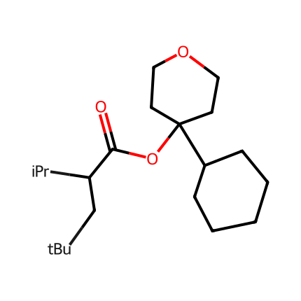 CC(C)C(CC(C)(C)C)C(=O)OC1(C2CCCCC2)CCOCC1